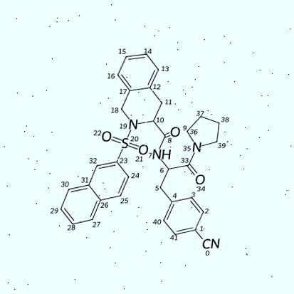 N#Cc1ccc(CC(NC(=O)C2Cc3ccccc3CN2S(=O)(=O)c2ccc3ccccc3c2)C(=O)N2CCCC2)cc1